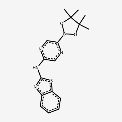 CC1(C)OB(c2cnc(Nc3nc4ccccc4s3)cn2)OC1(C)C